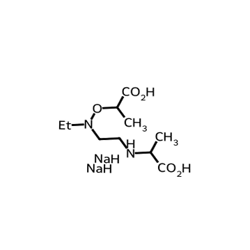 CCN(CCNC(C)C(=O)O)OC(C)C(=O)O.[NaH].[NaH]